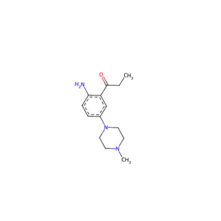 CCC(=O)c1cc(N2CCN(C)CC2)ccc1N